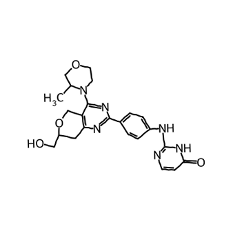 CC1COCCN1c1nc(-c2ccc(Nc3nccc(=O)[nH]3)cc2)nc2c1COC(CO)C2